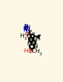 C[C@@]1(O)CC[C@H]2[C@H](CC[C@@H]3[C@@H]2CC[C@@]2(C)[C@H]3[C@H](C3CC3)C[C@@H]2C(=O)Cn2ncnn2)C1